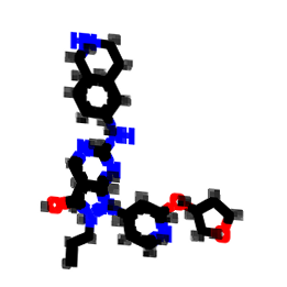 C=CCn1c(=O)c2cnc(Nc3ccc4c(c3)CCNC4)nc2n1-c1ccnc(OC2CCOC2)c1